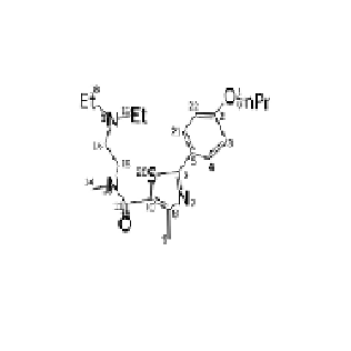 CCCOc1ccc(-c2nc(C)c(C(=O)N(C)CCN(CC)CC)s2)cc1